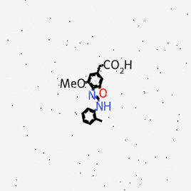 COc1cc(CC(=O)O)cc2oc(Nc3ccccc3C)nc12